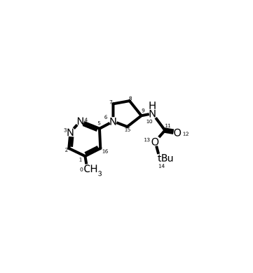 Cc1cnnc(N2CCC(NC(=O)OC(C)(C)C)C2)c1